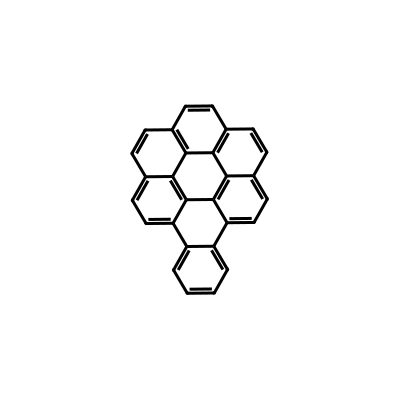 c1ccc2c(c1)c1ccc3ccc4ccc5ccc6ccc2c2c6c5c4c3c12